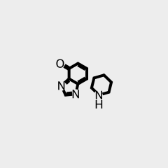 C1CCNCC1.O=C1C=CC=C2N=CN=C12